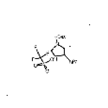 CCCCCCCCCCN1CCC(CCC)C1.O=S(=O)(O)C(F)(F)F